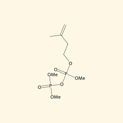 C=C(C)CCOP(=O)(OC)OP(=O)(OC)OC